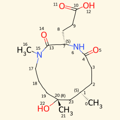 C[C@H]1CCC(=O)N[C@@H](CCC(=O)O)C(=O)N(C)CCC[C@@](C)(O)C1